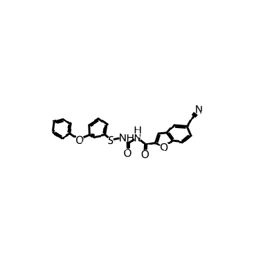 N#Cc1ccc2oc(C(=O)NC(=O)NSc3cccc(Oc4ccccc4)c3)cc2c1